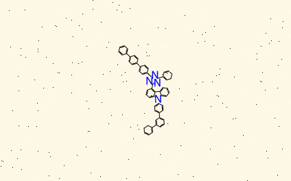 C1=CCCC(c2cccc(-c3ccc(-n4c5ccccc5c5c(-c6nc(C7=CCCC=C7)nc(-c7ccc(-c8ccc(-c9ccccc9)cc8)cc7)n6)cccc54)cc3)c2)=C1